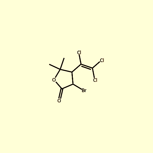 CC1(C)OC(=O)C(Br)C1C(Cl)=C(Cl)Cl